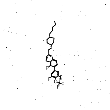 CCCCC[C@H]1CC[C@H](CCc2ccc3c(F)c(-c4cc(F)c(OC(F)(F)F)c(F)c4)ccc3c2)CC1